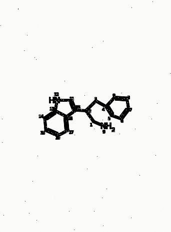 NCC(Cc1ccccc1)c1c[nH]c2ccccc12